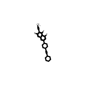 Fc1cc2cc(C3CCC(C#CC4CCCCC4)CC3)cc(F)c2c(F)c1C#CC(F)(F)F